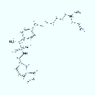 C=CCN(C)CCCCCCOc1ccc(N(C)S(=O)(=O)NCc2ccc3c(c2)OCO3)cc1